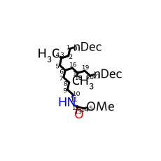 CCCCCCCCCCCCC(C)CC(CCCCNC1OC1OC)CC(C)CCCCCCCCCCCC